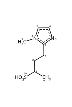 CC(CCc1nccn1C)S(=O)(=O)O